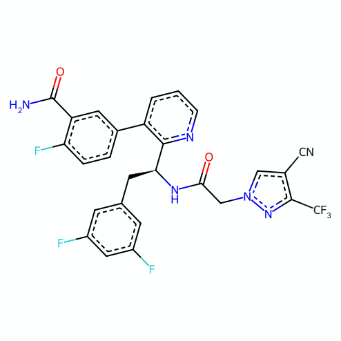 N#Cc1cn(CC(=O)N[C@@H](Cc2cc(F)cc(F)c2)c2ncccc2-c2ccc(F)c(C(N)=O)c2)nc1C(F)(F)F